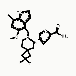 COc1cc(C)c2[nH]ccc2c1CN1CCC2(C[C@H]1c1ccc(C(N)=O)nc1)CC(F)(F)C2